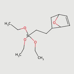 CCO[Si](CCC1CC2C=CC1O2)(OCC)OCC